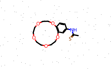 CC(=S)Nc1ccc2c(c1)OCCOCCOCCOCCO2